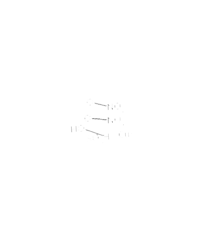 O=S(=O)(O)O.O=[N+]([O-])[O-].O=[N+]([O-])[O-].[Cu+2]